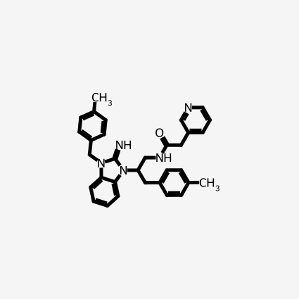 Cc1ccc(CC(CNC(=O)Cc2cccnc2)n2c(=N)n(Cc3ccc(C)cc3)c3ccccc32)cc1